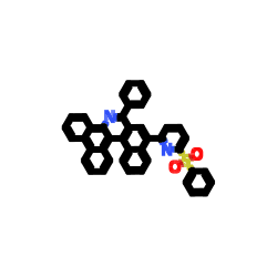 O=S(=O)(c1ccccc1)c1cccc(-c2cc3c(-c4ccccc4)nc4c5ccccc5c5ccccc5c4c3c3ccccc23)n1